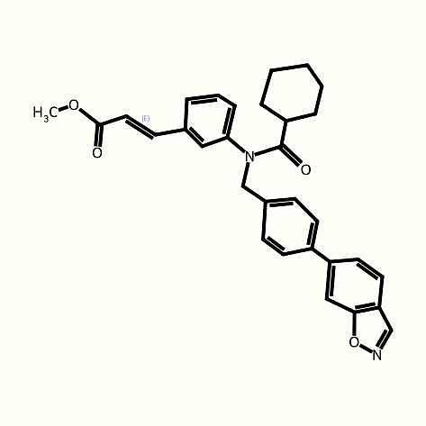 COC(=O)/C=C/c1cccc(N(Cc2ccc(-c3ccc4cnoc4c3)cc2)C(=O)C2CCCCC2)c1